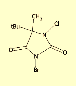 CC(C)(C)C1(C)C(=O)N(Br)C(=O)N1Cl